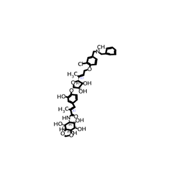 C/C(=C\c1ccc(O[C@@H]2O[C@H](/C(C)=C/COc3ccc(CN(C)Cc4ccccc4)cc3Cl)[C@@H](O)[C@@H]2O)c(O)c1)C(=O)N[C@@H]1[C@H](O)[C@@H](O)[C@H]2OCO[C@H]2[C@@H]1O